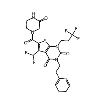 O=C1CN(C(=O)c2sc3c(c2C(F)F)c(=O)n(CCC2=CCCC=C2)c(=O)n3CCC(F)(F)F)CCN1